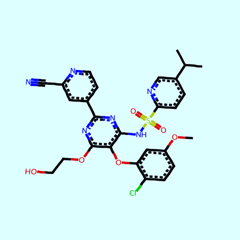 COc1ccc(Cl)c(Oc2c(NS(=O)(=O)c3ccc(C(C)C)cn3)nc(-c3ccnc(C#N)c3)nc2OCCO)c1